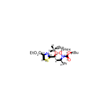 CCCCCCON(C(=O)OC(C)(C)C)[C@H](C[C@@H](O[Si](C)(C)C(C)(C)C)c1nc(C(=O)OCC)cs1)C(C)C